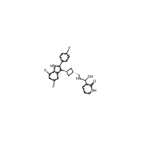 O=c1[nH]cccc1C(O)NC[C@H]1C[C@H](c2c(-c3ccc(F)cc3)[nH]c3c(F)cc(F)cc32)C1